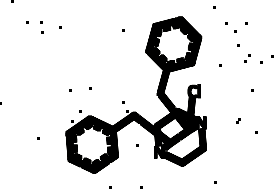 ClC1(Cc2ccccc2)C(Cc2ccccc2)N2CCN1CC2